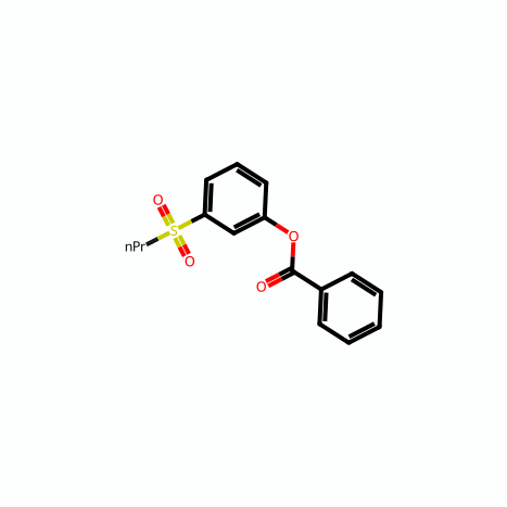 CCCS(=O)(=O)c1cccc(OC(=O)c2ccccc2)c1